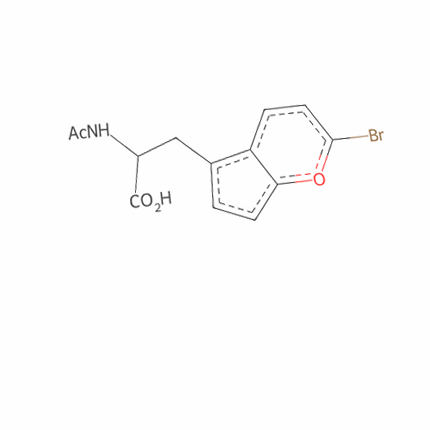 CC(=O)NC(Cc1ccc2oc(Br)ccc1-2)C(=O)O